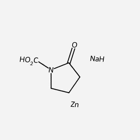 O=C(O)N1CCCC1=O.[NaH].[Zn]